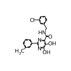 Cc1cccc(-c2nc(O)c(O)c(C(=O)NCc3cccc(Cl)c3)n2)c1